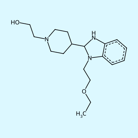 CCOCCN1c2ccccc2NC1C1CCN(CCO)CC1